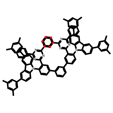 Cc1cc(C)cc(-c2ccc3c(c2)c2cc(-c4cc(C)cc(C)c4)ccc2n3-c2ccc(-c3cccc(-c4ccc(-n5c6ccc(-c7cc(C)cc(C)c7)cc6c6cc(-c7cc(C)cc(C)c7)ccc65)c(-c5nc(-c6ccccc6)nc(-c6ccccc6)n5)c4)c3)cc2-c2nc(-c3ccccc3)nc(-c3ccccc3)n2)c1